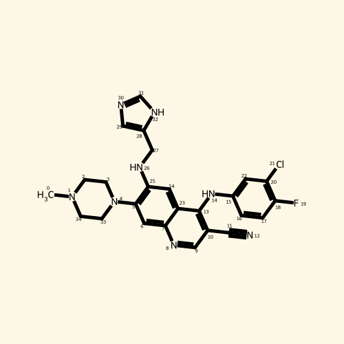 CN1CCN(c2cc3ncc(C#N)c(Nc4ccc(F)c(Cl)c4)c3cc2NCc2cnc[nH]2)CC1